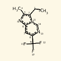 CCc1c(C)nc2cc(C(F)(F)F)ncn12